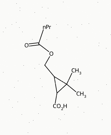 CCCC(=O)OCC1C(C(=O)O)C1(C)C